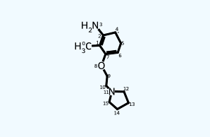 CC1=C(N)[CH]CC=C1OCCN1CCCC1